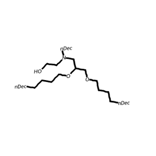 CCCCCCCCCCCCCCOCC(CN(CCO)CCCCCCCCCC)OCCCCCCCCCCCCCC